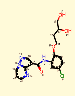 O=C(Nc1cc(Cl)ccc1OCCC(O)CO)c1cnn2cccnc12